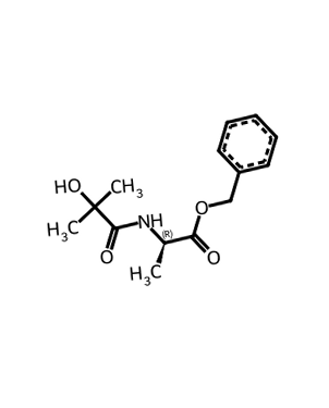 C[C@@H](NC(=O)C(C)(C)O)C(=O)OCc1ccccc1